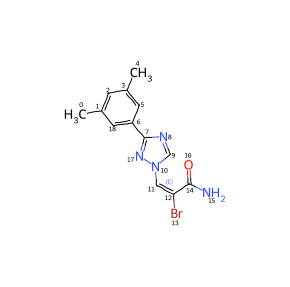 Cc1cc(C)cc(-c2ncn(/C=C(/Br)C(N)=O)n2)c1